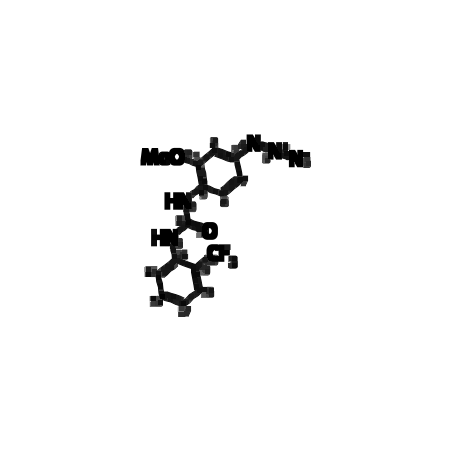 COc1cc(N=[N+]=[N-])ccc1NC(=O)Nc1ccccc1C(F)(F)F